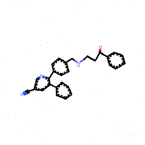 N#Cc1cnc(-c2ccc(CNCCC(=O)c3ccccc3)cc2)c(-c2ccccc2)c1